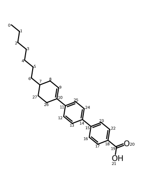 CCCCCCCC1CC=C(c2ccc(-c3ccc(C(=O)O)cc3)cc2)CC1